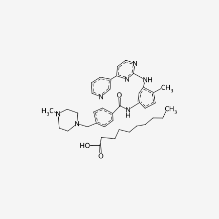 CCCCCCCCCC(=O)O.Cc1ccc(NC(=O)c2ccc(CN3CCN(C)CC3)cc2)cc1Nc1nccc(-c2cccnc2)n1